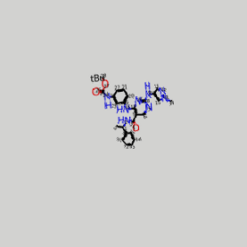 CC(NC(=O)c1cnc(Nc2cnn(C)c2)nc1Nc1cccc(NC(=O)OC(C)(C)C)c1)c1ccccc1